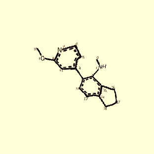 CNc1c(-c2ccnc(OC)c2)ccc2c1CCC2